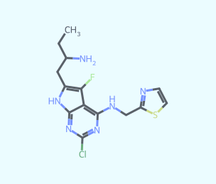 CCC(N)Cc1[nH]c2nc(Cl)nc(NCc3nccs3)c2c1F